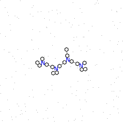 c1ccc(-c2ccc(N(c3ccc(-c4ccc(N(c5ccccc5)c5cccc6ccccc56)cc4)cc3)c3ccc(-c4ccc(N(c5ccc(-c6ccc(N(c7ccccc7)c7cccc8ccccc78)cc6)cc5)c5cccc6ccccc56)cc4)cc3)cc2)cc1